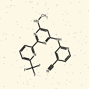 CNc1cc(Nc2cc(C#N)ccn2)nc(-c2cccc(C(F)(F)F)n2)n1